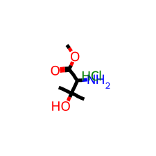 COC(=O)C(N)C(C)(C)O.Cl